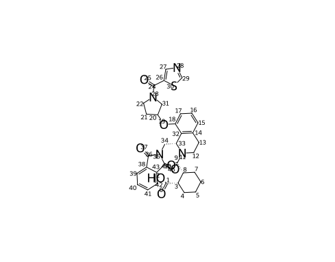 O=C(O)[C@H]1CCCC[C@H]1C(=O)N1CCc2cccc(OC3CCN(C(=O)c4cncs4)C3)c2[C@H]1CN1C(=O)c2ccccc2C1=O